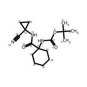 CC(C)(C)OC(=O)NC1(C(=O)NC2(C#N)CC2)CCCCC1